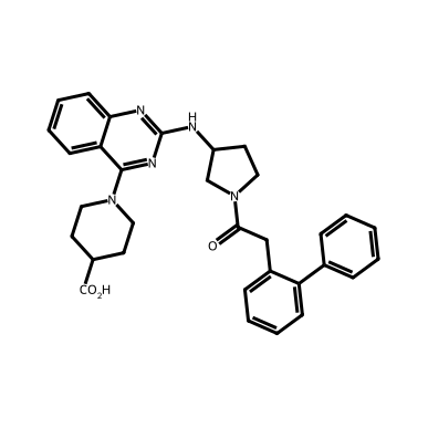 O=C(O)C1CCN(c2nc(NC3CCN(C(=O)Cc4ccccc4-c4ccccc4)C3)nc3ccccc23)CC1